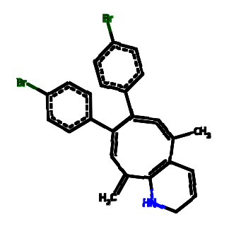 C=C1/C=C(/c2ccc(Br)cc2)C(c2ccc(Br)cc2)=C=C(C)C2=C1NCC=C2